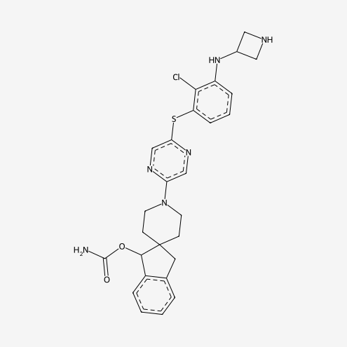 NC(=O)OC1c2ccccc2CC12CCN(c1cnc(Sc3cccc(NC4CNC4)c3Cl)cn1)CC2